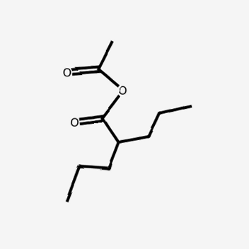 CCCC(CCC)C(=O)OC(C)=O